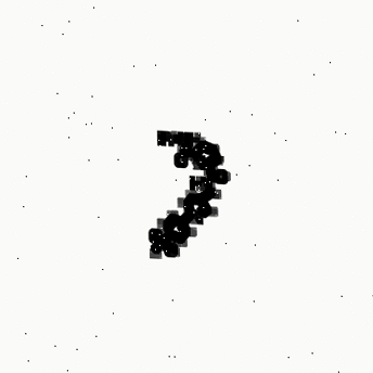 CC(C)NC(=O)c1cccc(C(=O)NCC2=CCC(c3ccc(S(C)(=O)=O)cc3)N=C2)n1